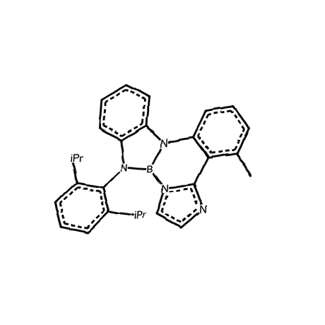 Cc1cccc2c1-c1nccn1B1N2c2ccccc2N1c1c(C(C)C)cccc1C(C)C